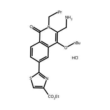 CCCCOc1c(CN)n(CC(C)C)c(=O)c2ccc(-c3nc(C(=O)OCC)cs3)cc12.Cl